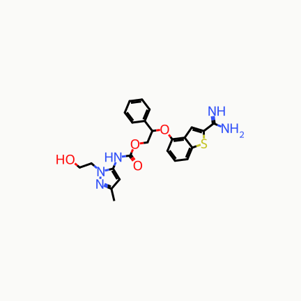 Cc1cc(NC(=O)OCC(Oc2cccc3sc(C(=N)N)cc23)c2ccccc2)n(CCO)n1